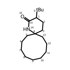 CC(C)(C)C1CCC2(CCCCCCCCC2)NC1=O